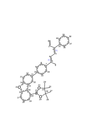 C=C/C(=C\C=C(/C)c1ccc(-c2ccc3oc4cccc(B5OC(C)(C)C(C)(C)O5)c4c3c2)cc1)c1ccccc1